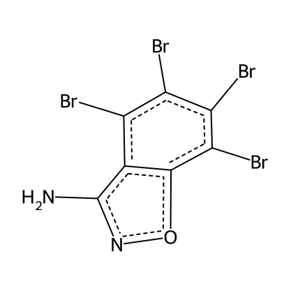 Nc1noc2c(Br)c(Br)c(Br)c(Br)c12